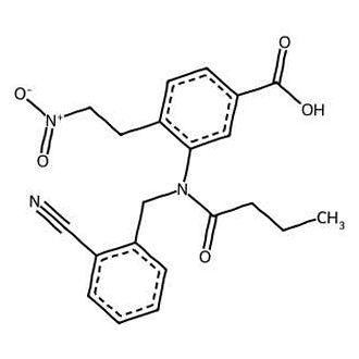 CCCC(=O)N(Cc1ccccc1C#N)c1cc(C(=O)O)ccc1CC[N+](=O)[O-]